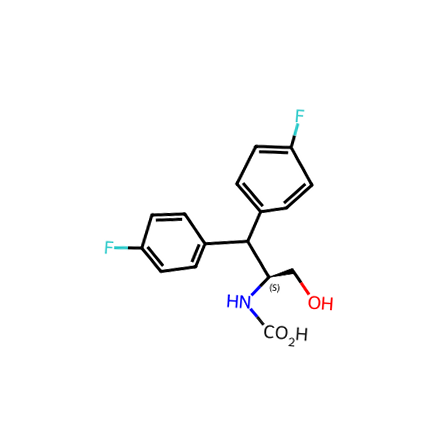 O=C(O)N[C@H](CO)C(c1ccc(F)cc1)c1ccc(F)cc1